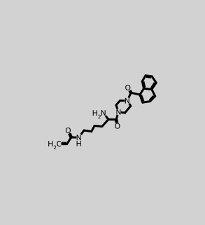 C=CC(=O)NCCCCC(N)C(=O)N1CCN(C(=O)c2cccc3ccccc23)CC1